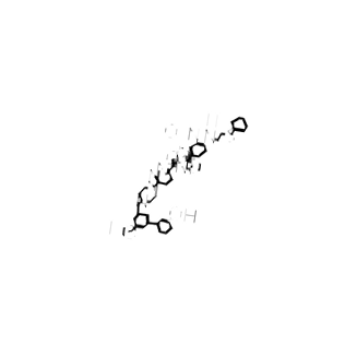 CCOc1cc(CN2CCN(c3ccc(C(=O)NS(=O)(=O)c4ccc(NCCSc5ccccc5)c([N+](=O)[O-])c4)nn3)CC2)cc(-c2cccc(O)c2)c1